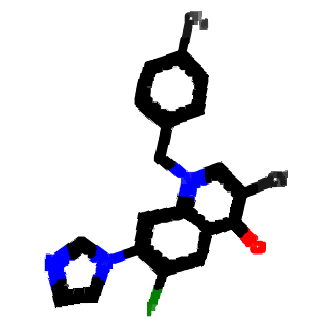 N#Cc1cn(Cc2ccc(C(F)(F)F)cc2)c2cc(-n3ccnc3)c(F)cc2c1=O